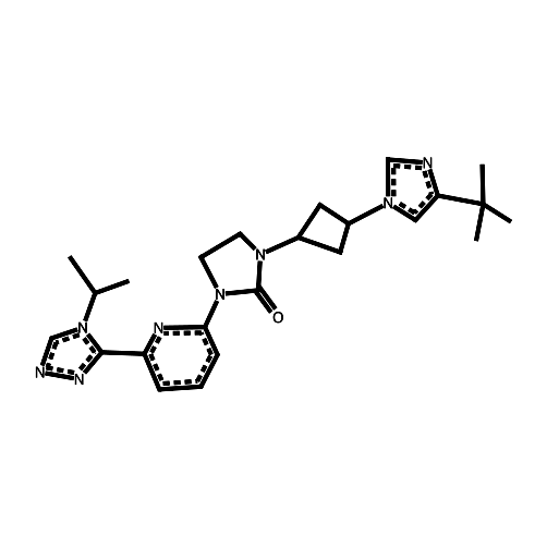 CC(C)n1cnnc1-c1cccc(N2CCN(C3CC(n4cnc(C(C)(C)C)c4)C3)C2=O)n1